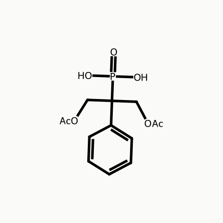 CC(=O)OCC(COC(C)=O)(c1ccccc1)P(=O)(O)O